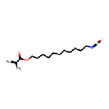 C=C(C)C(=O)OCCCCCCCCCCCN=C=O